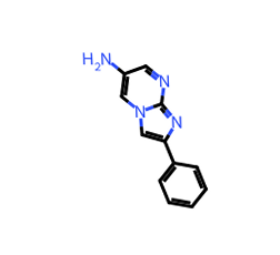 Nc1cnc2nc(-c3ccccc3)cn2c1